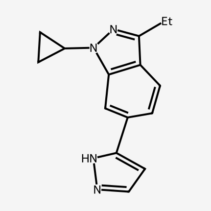 CCc1nn(C2CC2)c2cc(-c3ccn[nH]3)ccc12